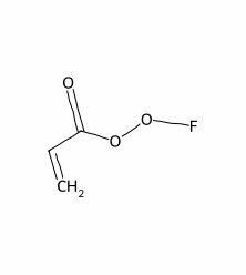 C=CC(=O)OOF